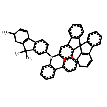 CC1C=CC2=C(C1)C(C)(C)c1cc(N(c3ccc4c(c3)-c3ccccc3C43C4=C(C=CCC4)c4ccccc43)c3ccccc3-c3ccccc3)ccc12